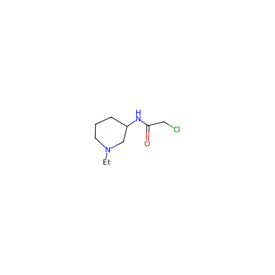 CCN1CCCC(NC(=O)CCl)C1